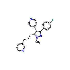 Cn1nc(-c2ccc(F)cc2)c(-c2ccncc2)c1CCCc1cccnc1